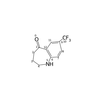 O=C1CCCNc2ccc(C(F)(F)F)cc21